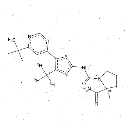 [2H]C([2H])([2H])c1nc(NC(=O)N2CCC[C@@]2(C)C(N)=O)sc1-c1ccnc(C(C)(C)C(F)(F)F)c1